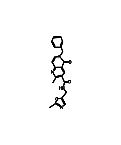 Cc1ncc(CNC(=O)c2cc3c(=O)n(Cc4ccccc4)ccc3nc2C)o1